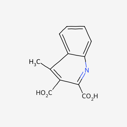 Cc1c(C(=O)O)c(C(=O)O)nc2ccccc12